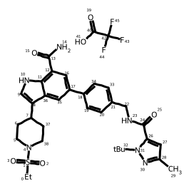 CCS(=O)(=O)N1CCC(c2c[nH]c3c(C(N)=O)cc(-c4ccc(CNC(=O)c5cc(C)nn5C(C)(C)C)cc4)cc23)CC1.O=C(O)C(F)(F)F